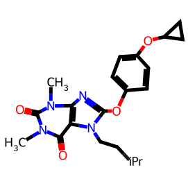 CC(C)CCn1c(Oc2ccc(OC3CC3)cc2)nc2c1c(=O)n(C)c(=O)n2C